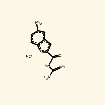 Cl.N=C(N)NC(=O)c1cc2cc(N)ccc2s1